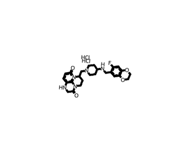 Cl.Cl.O=C1CNc2ccc(=O)n3c2N1CCC3CN1CCC(NCc2cc3c(cc2F)OCCO3)CC1